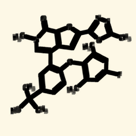 Cc1nnc(-c2cc3c(-c4cc(C(C)(C)O)ccc4Oc4c(C)cc(F)cc4C)cn(C)c(=O)c3o2)o1